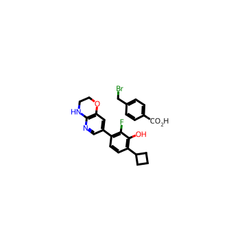 O=C(O)c1ccc(CBr)cc1.Oc1c(C2CCC2)ccc(-c2cnc3c(c2)OCCN3)c1F